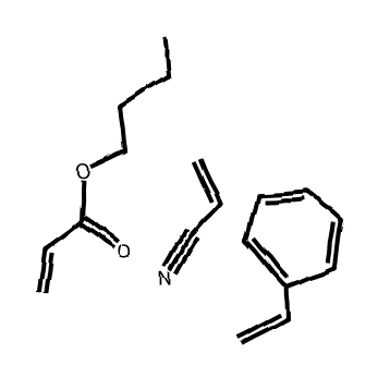 C=CC#N.C=CC(=O)OCCCC.C=Cc1ccccc1